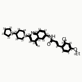 CCOc1ccc(C=CC(=O)Nc2ccc3nc(N4CCC(N5CCCC5)CC4)cc(C)c3c2)c(Cl)c1